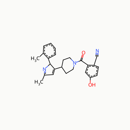 CC1=NC(c2ccccc2C)C(C2CCN(C(=O)c3cc(O)ccc3C#N)CC2)=C1